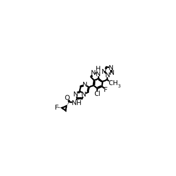 CC(c1c(F)c(Cl)c(-c2cn3cc(NC(=O)[C@@H]4C[C@@H]4F)nc3cn2)c2cn[nH]c12)n1ncnn1